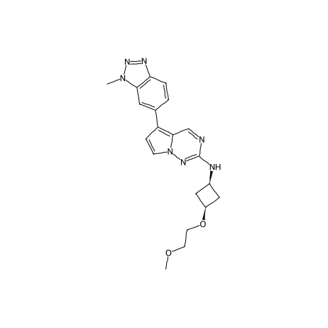 COCCO[C@H]1C[C@@H](Nc2ncc3c(-c4ccc5nnn(C)c5c4)ccn3n2)C1